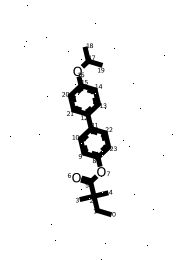 CCC(C)(C)C(=O)Oc1ccc(-c2ccc(OC(C)C)cc2)cc1